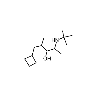 CC(CC1CCC1)C(O)C(C)NC(C)(C)C